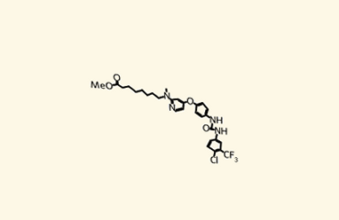 COC(=O)CCCCCCCN(C)c1cc(Oc2ccc(NC(=O)Nc3ccc(Cl)c(C(F)(F)F)c3)cc2)ccn1